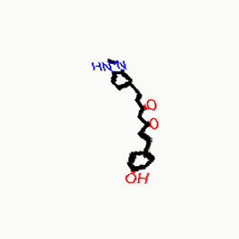 O=C(/C=C/c1ccc(O)cc1)CC(=O)/C=C/c1ccc2[nH]cnc2c1